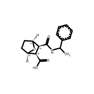 CC(NC(=O)[C@H]1[C@@H](C(=O)O)[C@H]2CC[C@@H]1O2)c1ccccc1